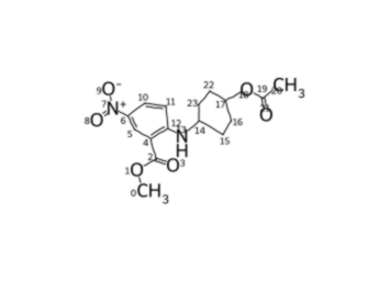 COC(=O)c1cc([N+](=O)[O-])ccc1NC1CCC(OC(C)=O)CC1